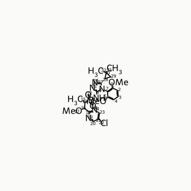 COc1cccc(OC)c1-n1c(NS(=O)(=O)C(C)C(OC)c2ncc(Cl)cn2)nnc1[C@H]1CC1(C)C